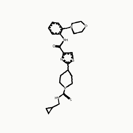 O=C(Nc1ccccc1N1CCOCC1)c1csc(C2CCN(C(=S)NCC3CC3)CC2)n1